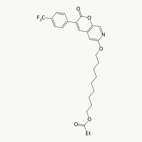 CCC(=O)OCCCCCCCCCOc1cc2cc(-c3ccc(C(F)(F)F)cc3)c(=O)oc2cn1